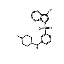 CN1CCC(Nc2cccc(S(=O)(=O)n3cc(Br)c4ccccc43)c2)CC1